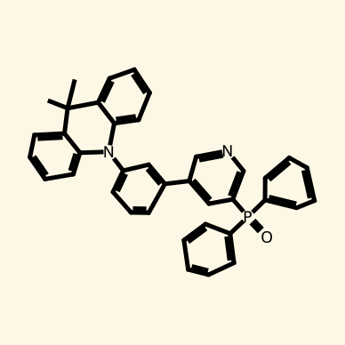 CC1(C)c2ccccc2N(c2cccc(-c3cncc(P(=O)(c4ccccc4)c4ccccc4)c3)c2)c2ccccc21